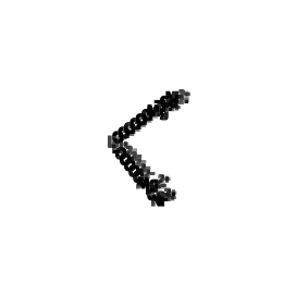 [Co+2].[Co+2].[Li+].[Li+].[Mg+2].[Mg+2].[Ni+2].[Ni+2].[O-2].[O-2].[O-2].[O-2].[O-2].[O-2].[O-2].[O-2].[O-2].[O-2].[O-2].[Ti+4].[Ti+4]